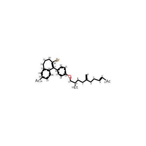 C=C(CC/C=C/C(C)=O)CC[C@@H](CC)COc1ccc(C2=C(Br)CCCc3cc(C(C)=O)ccc32)cc1